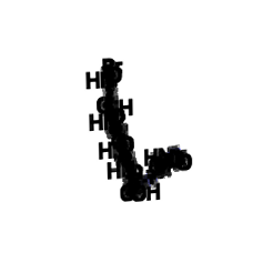 CC(=O)O[C@@H](C)/C=C\C(=O)N[C@@H]1C[C@H](C)[C@H](C/C=C(C)/C=C/[C@H]2O[C@H](CC(=O)NCc3ccc(NC(=O)OCc4ccc(NC(=O)CNC(=O)CCCCCNC(=O)CBr)cc4)cc3)C[C@@]3(CO3)[C@@H]2O)O[C@@H]1C